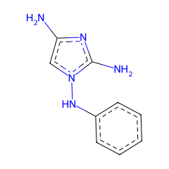 Nc1cn(Nc2ccccc2)c(N)n1